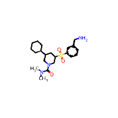 CN(C)C(=O)N1CC(C2CCCCC2)CC(S(=O)(=O)c2cccc(CN)c2)C1